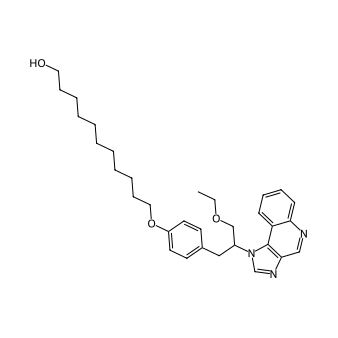 CCOCC(Cc1ccc(OCCCCCCCCCCCO)cc1)n1cnc2cnc3ccccc3c21